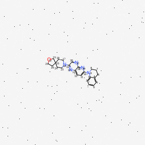 c1ccc2c(c1)CCCN2c1ccc2nc(N3CCC4(CCOC4)CC3)cnc2n1